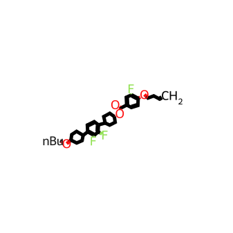 C=CCCOc1ccc(C(=O)OC2CCC(c3ccc(C4CCC(OCCCC)CC4)c(F)c3F)CC2)cc1F